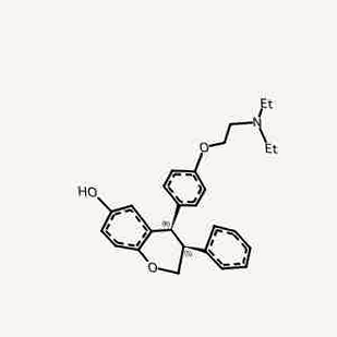 CCN(CC)CCOc1ccc([C@@H]2c3cc(O)ccc3OC[C@@H]2c2ccccc2)cc1